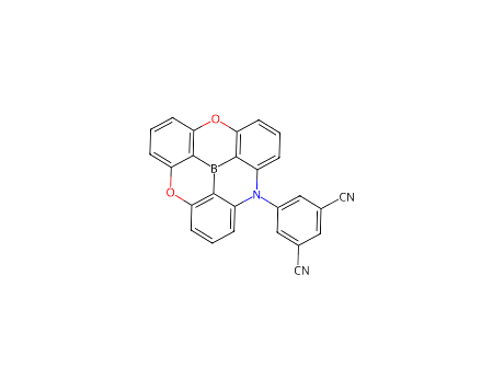 N#Cc1cc(C#N)cc(N2c3cccc4c3B3c5c(cccc5Oc5cccc2c53)O4)c1